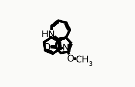 CON1C2=CCC(=O)C3NC=CC=CC23C2=C1C=CCC2